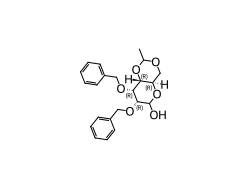 CC1OC[C@H]2OC(O)[C@H](OCc3ccccc3)[C@H](OCc3ccccc3)[C@@H]2O1